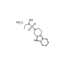 C[C@H](C(=O)O)N(O)S(=O)(=O)N1CCc2c([nH]c3ccccc23)C1